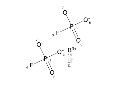 O=P([O-])([O-])F.O=P([O-])([O-])F.[B+3].[Li+]